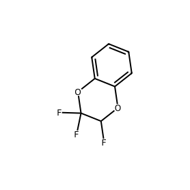 FC1Oc2ccccc2OC1(F)F